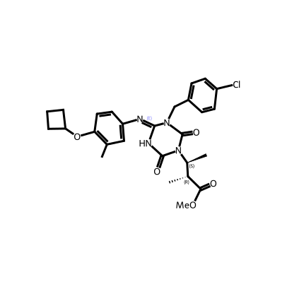 COC(=O)[C@H](C)[C@H](C)n1c(=O)[nH]/c(=N\c2ccc(OC3CCC3)c(C)c2)n(Cc2ccc(Cl)cc2)c1=O